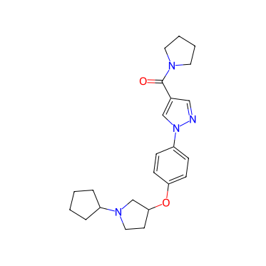 O=C(c1cnn(-c2ccc(OC3CCN(C4CCCC4)C3)cc2)c1)N1CCCC1